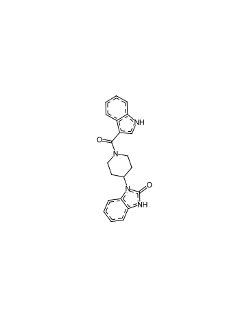 O=C(c1c[nH]c2ccccc12)N1CCC(n2c(=O)[nH]c3ccccc32)CC1